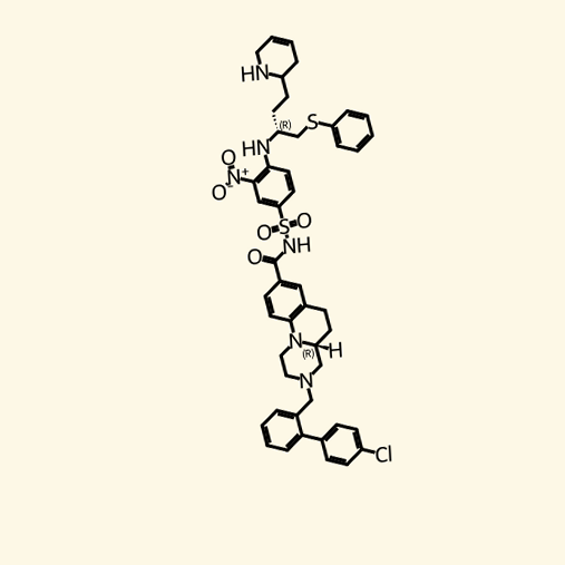 O=C(NS(=O)(=O)c1ccc(N[C@H](CCC2CC=CCN2)CSc2ccccc2)c([N+](=O)[O-])c1)c1ccc2c(c1)CC[C@@H]1CN(Cc3ccccc3-c3ccc(Cl)cc3)CCN21